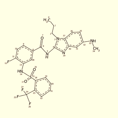 CCCn1c(NC(=O)c2ccc(F)c(NS(=O)(=O)c3ccccc3C(F)(F)F)c2)nc2cc(NC)ccc21